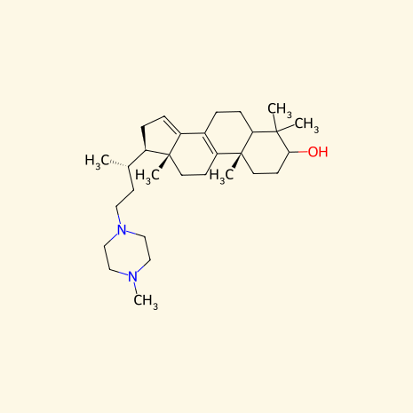 C[C@@H](CCN1CCN(C)CC1)[C@H]1CC=C2C3=C(CC[C@@]21C)[C@@]1(C)CCC(O)C(C)(C)C1CC3